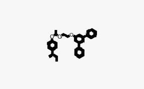 CCC(C)c1ccc(OC(C)OCCOc2cc(-c3ccccc3)cc(-c3ccccc3)c2)cc1